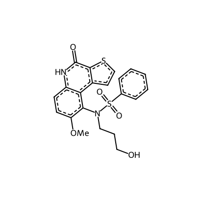 COc1ccc2[nH]c(=O)c3sccc3c2c1N(CCCO)S(=O)(=O)c1ccccc1